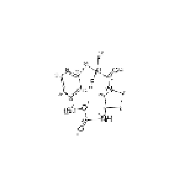 CC(C)(C)OC(=O)NC1CCN(C(=O)C(F)(F)Cc2ccccc2)C1